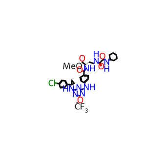 COC(=O)[C@H](CCNC(=O)C(=O)NC1CCCCC1)NC(=O)c1ccc(Nc2nc(NC3(c4ccc(Cl)cc4)CC3)nc(OCC(F)(F)F)n2)cc1